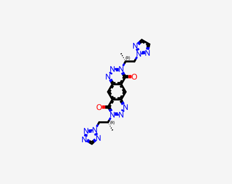 C[C@H](Cn1nccn1)n1nnc2cc3c(=O)n([C@H](C)Cn4ncnn4)nnc3cc2c1=O